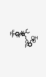 CCC(CC)c1nn(-c2ccc(C(F)(F)F)cn2)cc1CCCOc1c(F)cccc1CC(=O)O